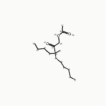 CCCCCCC(C)(CCCC)C(=O)COC(C)=O